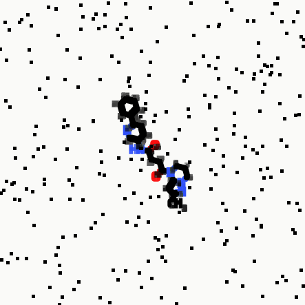 Cc1cc2n(n1)CCCN2C(=O)CCC(=O)Nc1ccc(-c2ccccc2)nc1